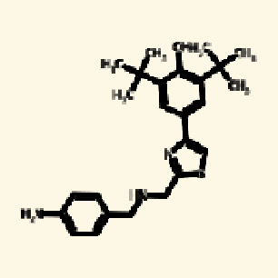 CC(C)(C)c1cc(-c2csc(CNCc3ccc(N)cc3)n2)cc(C(C)(C)C)c1O